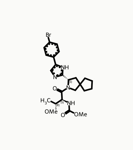 COC(=O)N[C@H](C(=O)N1CC2(CCCC2)C[C@H]1c1ncc(-c2ccc(Br)cc2)[nH]1)[C@@H](C)OC